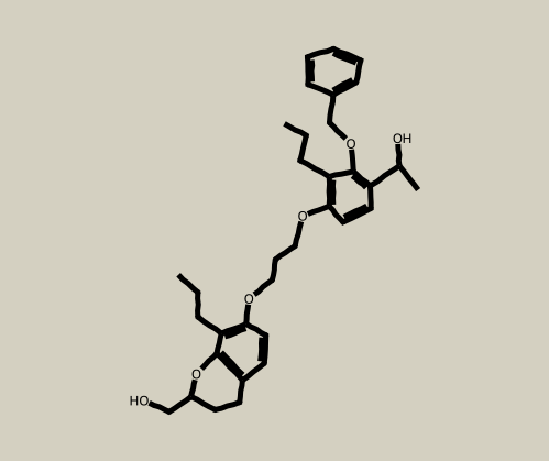 CCCc1c(OCCCOc2ccc(C(C)O)c(OCc3ccccc3)c2CCC)ccc2c1OC(CO)CC2